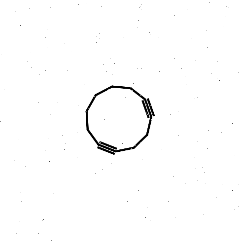 C1#CCCCCCC#CCC1